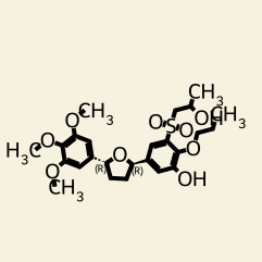 CCCOc1c(O)cc([C@H]2CC[C@H](c3cc(OC)c(OC)c(OC)c3)O2)cc1S(=O)(=O)CC(C)O